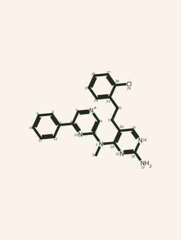 CN(c1cncc(-c2ccccc2)n1)c1nc(N)ncc1CCc1ccccc1Cl